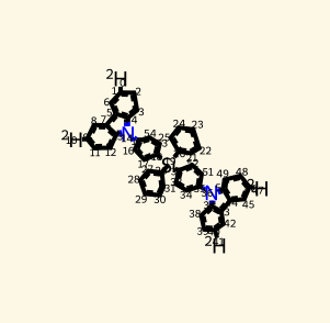 [2H]c1ccc2c(c1)c1cc([2H])ccc1n2-c1ccc([Si](c2ccccc2)(c2ccccc2)c2ccc(-n3c4ccc([2H])cc4c4cc([2H])ccc43)cc2)cc1